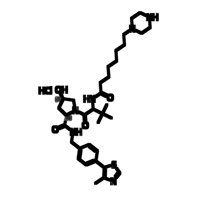 Cc1ncsc1-c1ccc(CNC(=O)[C@@H]2C[C@@H](O)CN2C(=O)C(NC(=O)CCCCCCCN2CCNCC2)C(C)(C)C)cc1.Cl